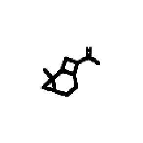 CNC1CC2C1CCC1CC12C